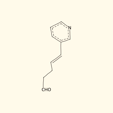 O=CCCC=Cc1cccnc1